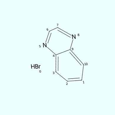 Br.c1ccc2nccnc2c1